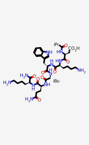 CC[C@H](C)[C@H](NC(=O)[C@H](Cc1c[nH]c2ccccc12)NC(=O)[C@H](CCCCN)NC(=O)[C@H](CC(=O)O)NC(=O)C(C)C)C(=O)N[C@@H](CCC(N)=O)C(=O)N[C@@H](CCCCN)C(N)=O